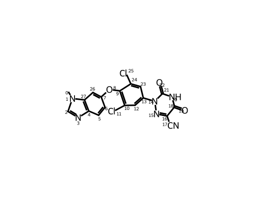 Cn1cnc2ccc(Oc3c(Cl)cc(-n4nc(C#N)c(=O)[nH]c4=O)cc3Cl)cc21